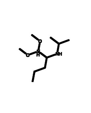 CCCC(NC(C)C)[SiH](OC)OC